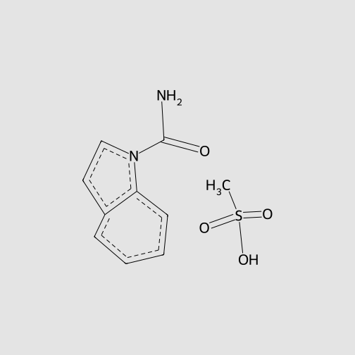 CS(=O)(=O)O.NC(=O)n1ccc2ccccc21